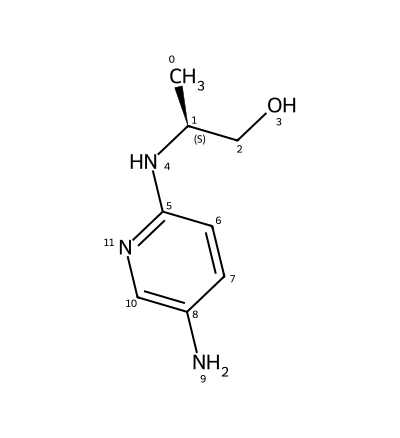 C[C@@H](CO)Nc1ccc(N)cn1